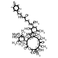 CC[C@H]1OC(=O)[C@H](C)[C@@H](C2C[C@@](C)(OC)[C@@H](O)[C@H](C)O2)[C@H](C)[C@@H](O[C@@H]2O[C@H](C)C[C@H](N(C)CCCC(=O)NCCc3ccc(F)cc3)[C@H]2O)[C@](C)(OC)C[C@@H](C)C(=O)[C@H](C)[C@@H](O)[C@]1(C)O